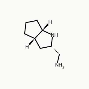 NC[C@@H]1C[C@@H]2CCC[C@@H]2N1